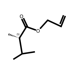 C=CCOC(=O)[C@@H](C)C(C)C